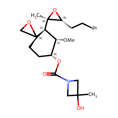 CO[C@@H]1[C@H](OC(=O)N2CC(C)(O)C2)CC[C@]2(CO2)[C@H]1[C@@]1(C)O[C@@H]1CCC(C)C